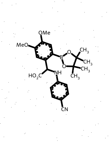 COc1cc(B2OC(C)(C)C(C)(C)O2)c(C(Nc2ccc(C#N)cc2)C(=O)O)cc1OC